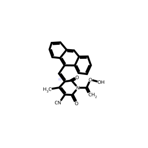 [C-]#[N+]C1=C(C)/C(=C/c2c3ccccc3cc3ccccc23)C(=O)N(C(=C)OO)C1=O